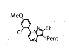 CCCC(C)c1c(CC)nn2c(-c3ccc(OC)cc3Cl)ccnc12